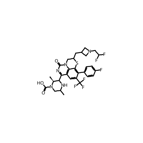 CC1CN(C(=O)O)[C@@H](C)C(c2nc(=O)n3c4c(c(-c5ccc(F)cc5)c(C(F)(F)F)cc24)SC(CC2CN(CC(F)F)C2)C3)N1